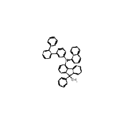 CC1(c2ccccc2)c2ccccc2-c2c(N(c3cccc(-c4ccccc4-c4ccccc4)c3)c3cccc4ccccc34)cccc21